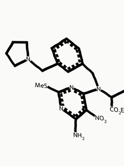 CCOC(=O)C(C)N(Cc1cccc(CN2CCCC2)c1)c1nc(SC)nc(N)c1[N+](=O)[O-]